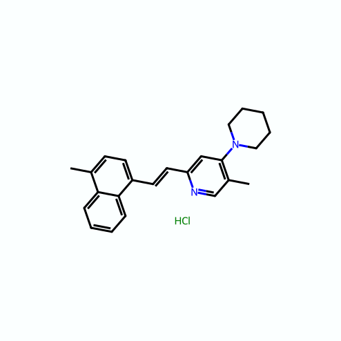 Cc1cnc(C=Cc2ccc(C)c3ccccc23)cc1N1CCCCC1.Cl